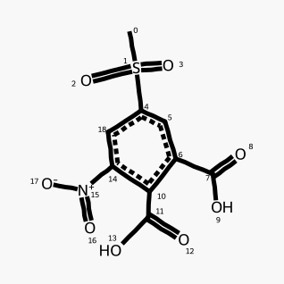 CS(=O)(=O)c1cc(C(=O)O)c(C(=O)O)c([N+](=O)[O-])c1